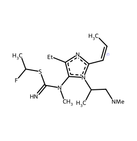 C/C=C\c1nc(CC)c(N(C)C(=N)SC(C)F)n1C(C)CNC